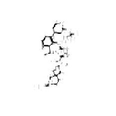 [2H]C([2H])([2H])Oc1cc(-c2ccc3c(c2Nc2nnc(S(=O)(=O)N4CC5(CCN(C)C5)C4)[nH]2)CCO3)ccn1